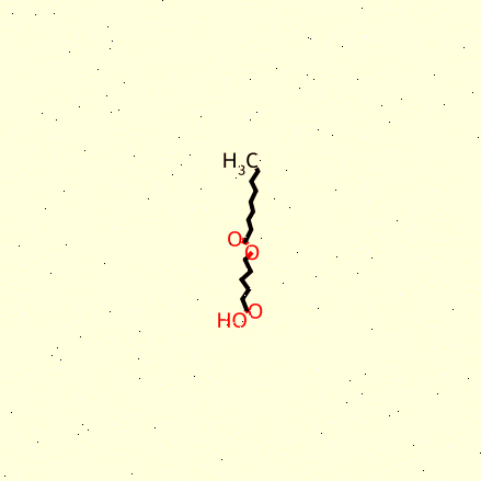 CCCCCCCCC(=O)OCCCCCC(=O)O